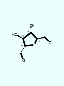 O[C@H]1[C@H](O)[C@@H](CCl)O[C@@H]1CCl